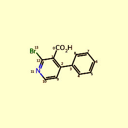 O=C(O)c1c(-c2ccccc2)ccnc1Br